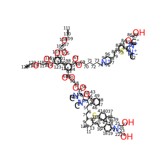 [C-]#[N+]C1=C(/C=C/C=C/C2CC(C)(C)CC(/C=C/c3ccc(N(CCO)CCO)cc3)=C2Sc2ccc(C(C)(C)C)cc2)C(C)(c2ccccc2)O/C1=C(/[N+]#[C-])C(=O)OCCOC(=O)c1cc(C(=O)OCCCCCC[n+]2ccc(/C=C/c3cc(COCCO)c([C-]([N+]#[C-])[N+]#[C-])s3)cc2)cc(-c2cc(OC(=O)CCOCC#C)cc(OC(=O)CCOCC#C)c2)c1